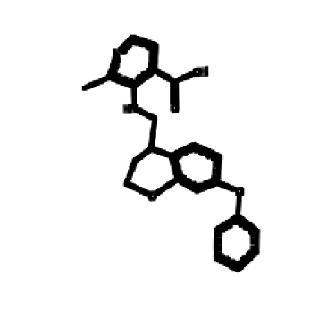 Cc1nccc(C(=O)O)c1NCC1CCOc2cc(Oc3ccccc3)ccc21